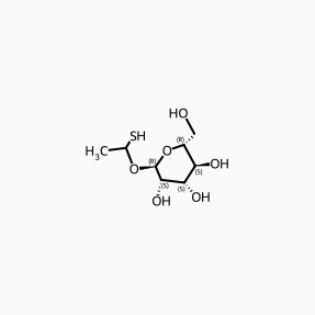 CC(S)O[C@H]1O[C@H](CO)[C@@H](O)[C@H](O)[C@@H]1O